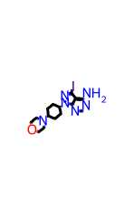 Nc1ncnc2c1c(I)nn2[C@H]1CC[C@@H](N2CCOCC2)CC1